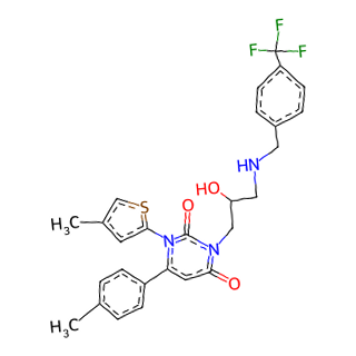 Cc1ccc(-c2cc(=O)n(CC(O)CNCc3ccc(C(F)(F)F)cc3)c(=O)n2-c2cc(C)cs2)cc1